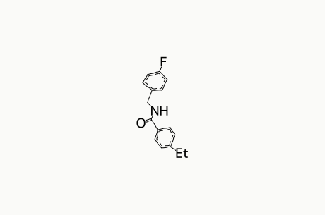 CCc1ccc(C(=O)NCc2ccc(F)cc2)cc1